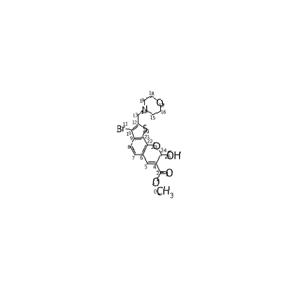 COC(=O)C1=Cc2ccc3c(Br)c(CN4CCOCC4)sc3c2OC1O